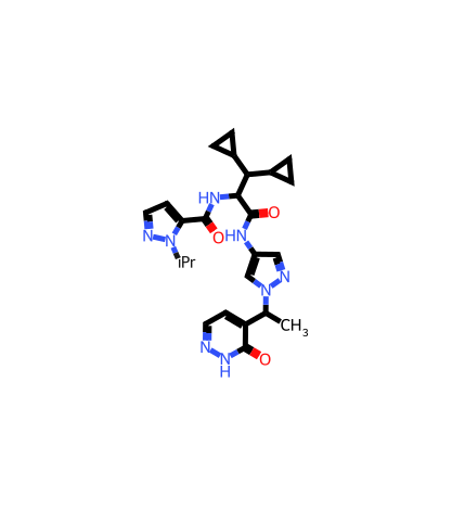 CC(c1ccn[nH]c1=O)n1cc(NC(=O)C(NC(=O)c2ccnn2C(C)C)C(C2CC2)C2CC2)cn1